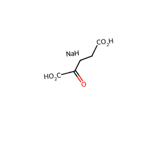 O=C(O)CCC(=O)C(=O)O.[NaH]